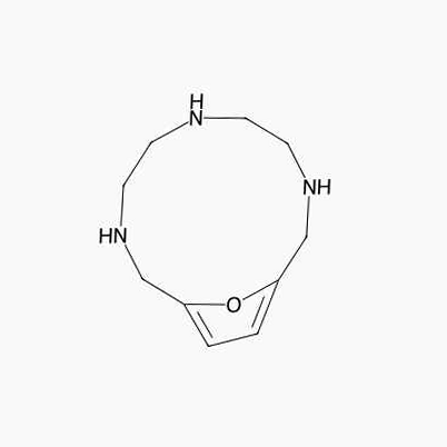 c1cc2oc1CNCCNCCNC2